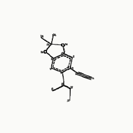 C#Cc1cc2c(cc1C(C)CC)OC(C)(C)O2